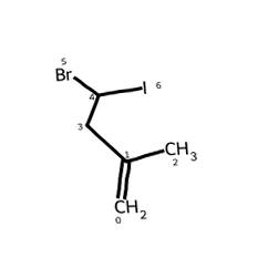 C=C(C)CC(Br)I